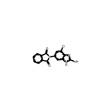 CCCc1nc2c(Cl)cc(N3C(=O)c4ccccc4C3=O)cc2[nH]1